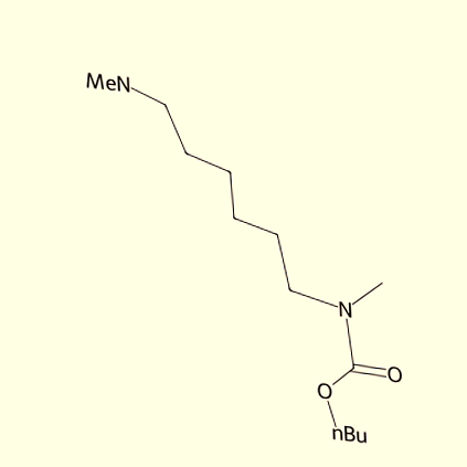 CCCCOC(=O)N(C)CCCCCCNC